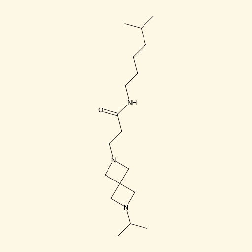 CC(C)CCCCNC(=O)CCN1CC2(C1)CN(C(C)C)C2